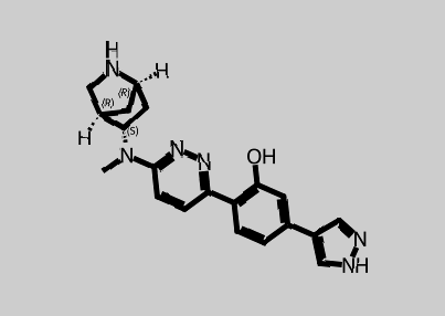 CN(c1ccc(-c2ccc(-c3cn[nH]c3)cc2O)nn1)[C@H]1C[C@H]2C[C@@H]1CN2